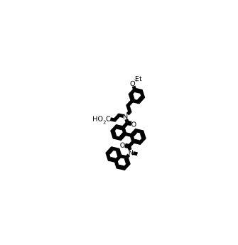 CCOc1cccc(CCN(CCC(=O)O)C(=O)c2ccccc2-c2ccccc2C(=O)N(C)c2cccc3ccccc23)c1